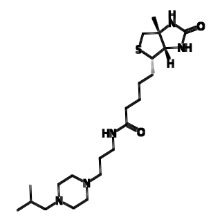 CC(C)CN1CCN(CCCNC(=O)CCCC[C@@H]2SC[C@]3(C)NC(=O)N[C@H]23)CC1